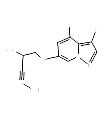 CC(C#SO)COc1cc(Br)c2c(C#N)cnn2c1